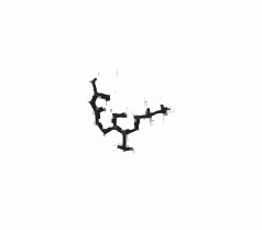 OCc1cc2ccc3c(C(F)(F)F)cc(C(F)(F)C(F)(F)F)nc3n2c1